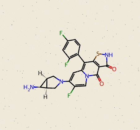 N[C@H]1[C@H]2CN(c3cc4c(-c5ccc(F)cc5F)c5s[nH]c(=O)c5c(=O)n4cc3F)C[C@@H]12